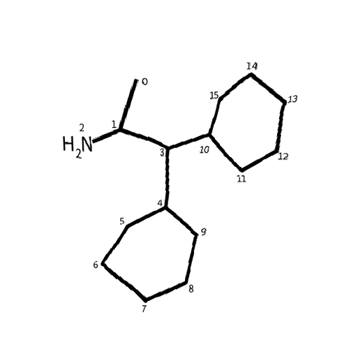 CC(N)C(C1CCCCC1)C1CCCCC1